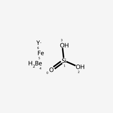 O=[Si](O)O.[BeH2].[Fe].[Y]